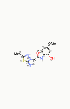 COc1cc(O)c2nc(-c3cnc4sc(SC)nn34)oc2c1